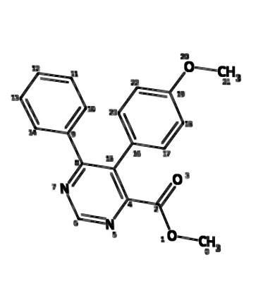 COC(=O)c1ncnc(-c2ccccc2)c1-c1ccc(OC)cc1